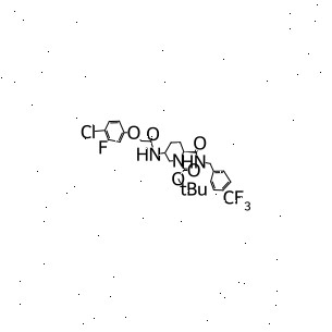 CC(C)(C)OC(=O)N1CC(NC(=O)COc2ccc(Cl)c(F)c2)CC[C@H]1C(=O)NCc1ccc(C(F)(F)F)cc1